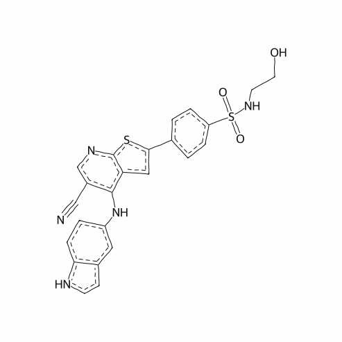 N#Cc1cnc2sc(-c3ccc(S(=O)(=O)NCCO)cc3)cc2c1Nc1ccc2[nH]ccc2c1